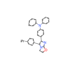 CC(C)c1ccc(-c2c(-c3ccc(N(c4ccccc4)c4ccccc4)cc3)nc3occn23)cc1